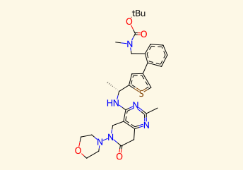 Cc1nc2c(c(N[C@H](C)c3cc(-c4ccccc4CN(C)C(=O)OC(C)(C)C)cs3)n1)CN(N1CCOCC1)C(=O)C2